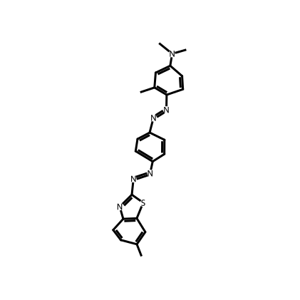 Cc1ccc2nc(N=Nc3ccc(N=Nc4ccc(N(C)C)cc4C)cc3)sc2c1